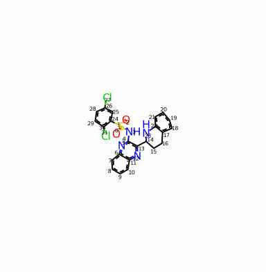 O=S(=O)(Nc1nc2ccccc2nc1C1CCc2ccccc2N1)c1cc(Cl)ccc1Cl